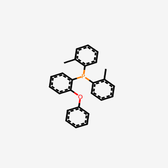 Cc1ccccc1P(c1ccccc1C)c1ccccc1Oc1ccccc1